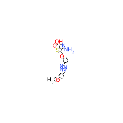 COc1ccc(Cn2nnc(-c3cccc(OCc4csc5c(C(=O)O)cnc(N)c45)c3)n2)cc1